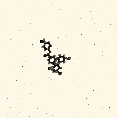 CC(C)(C)c1ccc(CC(=O)N2CCN(c3ccc(Cl)cc3Cl)C(c3ccc(Cl)cc3)C2)cc1